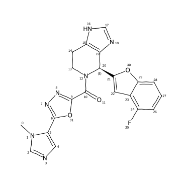 Cn1cncc1-c1nnc(C(=O)N2CCc3[nH]cnc3[C@H]2c2cc3c(F)cccc3o2)o1